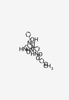 COc1ccc(OC(=O)Nc2cccc3nc(-c4c(NCC(O)c5ccccc5)cc[nH]c4=O)[nH]c23)cc1